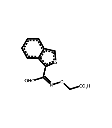 O=[C]/C(=N/OCC(=O)O)c1scc2ccccc12